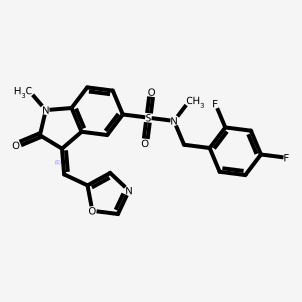 CN1C(=O)/C(=C/c2cnco2)c2cc(S(=O)(=O)N(C)Cc3ccc(F)cc3F)ccc21